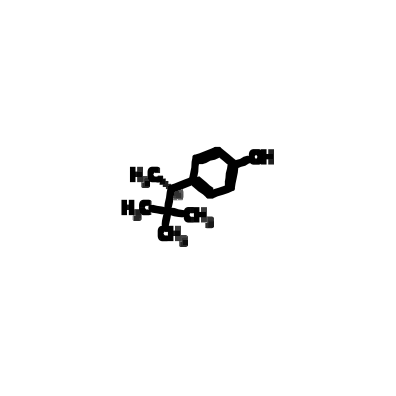 C[C@H](c1ccc(O)cc1)C(C)(C)C